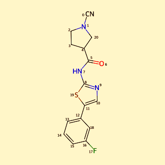 N#CN1CCC(C(=O)Nc2ncc(-c3cccc(F)c3)s2)C1